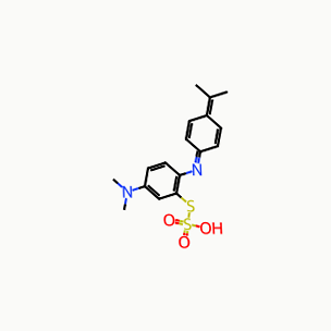 CC(C)=C1C=CC(=Nc2ccc(N(C)C)cc2SS(=O)(=O)O)C=C1